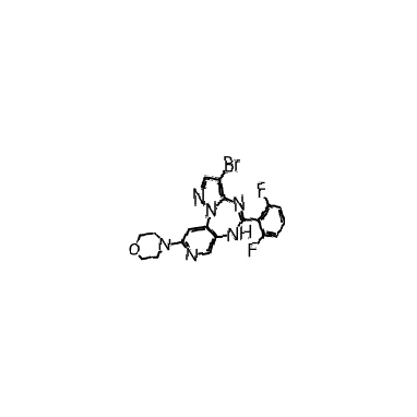 Fc1cccc(F)c1C1=Nc2c(Br)cnn2-c2cc(N3CCOCC3)ncc2N1